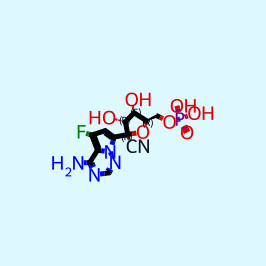 N#C[C@@]1(c2cc(F)c3c(N)ncnn23)O[C@H](COP(=O)(O)O)[C@@H](O)[C@H]1O